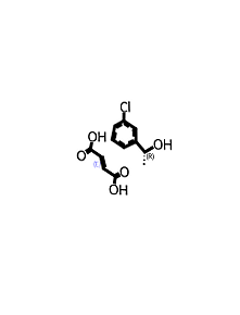 C[C@@H](O)c1cccc(Cl)c1.O=C(O)/C=C/C(=O)O